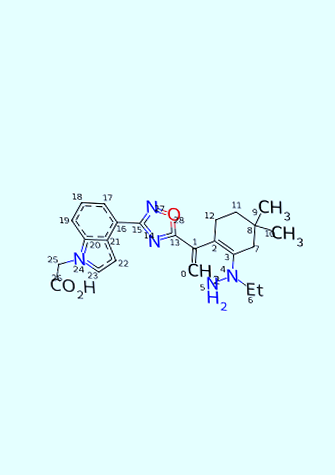 C=C(C1=C(N(N)CC)CC(C)(C)CC1)c1nc(-c2cccc3c2ccn3CC(=O)O)no1